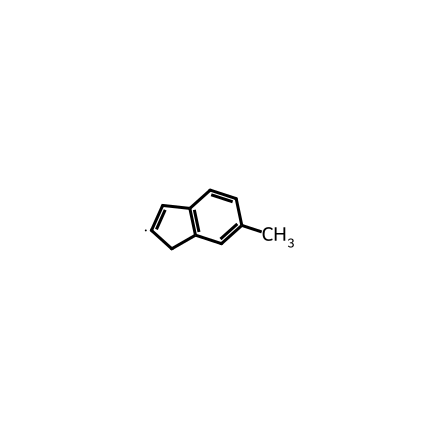 Cc1ccc2c(c1)C[C]=C2